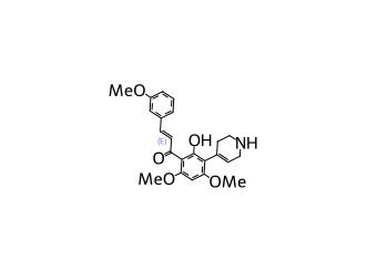 COc1cccc(/C=C/C(=O)c2c(OC)cc(OC)c(C3=CCNCC3)c2O)c1